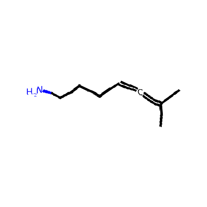 CC(C)=C=CCCCN